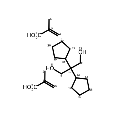 C=C(C)C(=O)O.C=C(C)C(=O)O.OCC(CO)(C1CCCC1)C1CCCC1